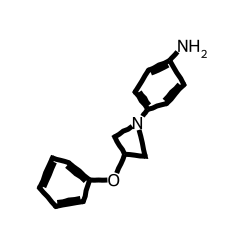 Nc1ccc(N2CC(Oc3ccccc3)C2)cc1